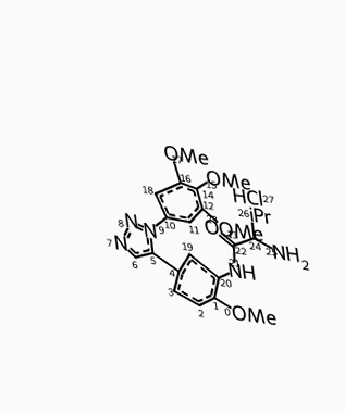 COc1ccc(-c2cnnn2-c2cc(OC)c(OC)c(OC)c2)cc1NC(=O)C(N)C(C)C.Cl